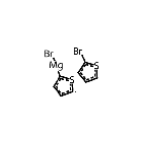 Brc1cccs1.[Br][Mg][c]1cc[c]s1